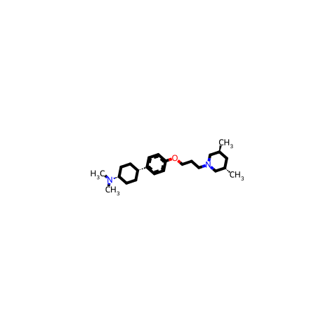 C[C@H]1C[C@H](C)CN(CCCOc2ccc([C@H]3CC[C@@H](N(C)C)CC3)cc2)C1